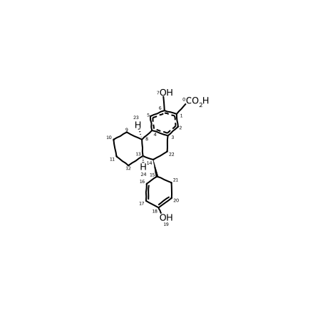 O=C(O)c1cc2c(cc1O)[C@@H]1CCCC[C@@H]1[C@H](C1C=CC(O)=CC1)C2